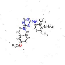 CC(=O)Nc1c(C)ccc(Nc2ncnc(N3CCc4cc(OC(F)(F)F)ccc4C3)n2)c1C